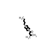 CCCCCN1CC2CN(C(=O)CC(C)C)CC2C1